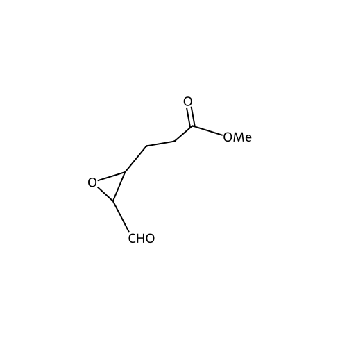 COC(=O)CCC1OC1C=O